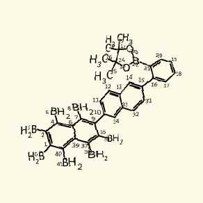 Bc1c(B)c(B)c2c(B)c(-c3ccc4cc(-c5ccccc5B5OC(C)(C)C(C)(C)O5)ccc4c3)c(B)c(B)c2c1B